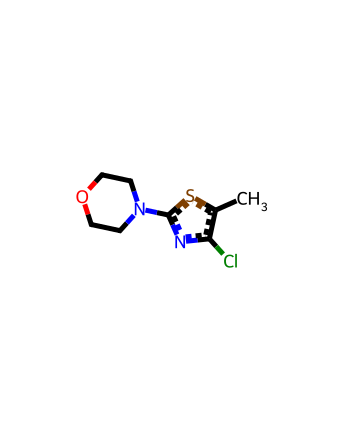 Cc1sc(N2CCOCC2)nc1Cl